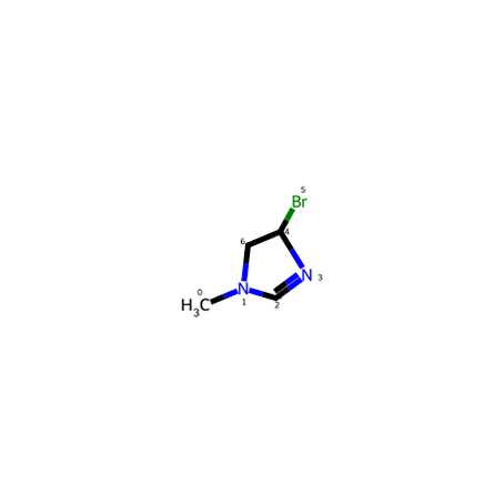 CN1[C]=NC(Br)C1